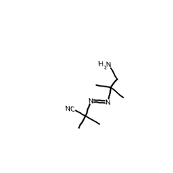 CC(C)(C#N)/N=N/C(C)(C)CN